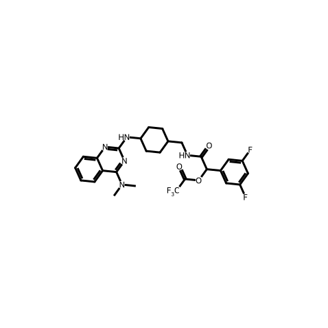 CN(C)c1nc(NC2CCC(CNC(=O)C(OC(=O)C(F)(F)F)c3cc(F)cc(F)c3)CC2)nc2ccccc12